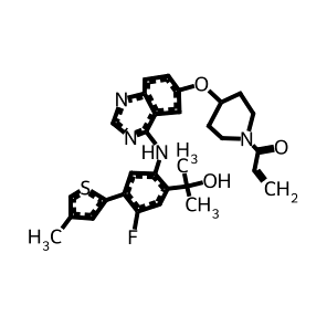 C=CC(=O)N1CCC(Oc2ccc3ncnc(Nc4cc(-c5cc(C)cs5)c(F)cc4C(C)(C)O)c3c2)CC1